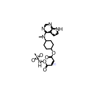 CN(c1ncnc2[nH]ccc12)C1CCC(OC(=O)/C=C\C(=O)ONS(C)(=O)=O)CC1